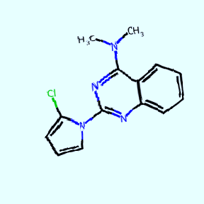 CN(C)c1nc(-n2cccc2Cl)nc2ccccc12